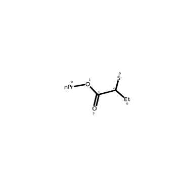 CCCOC(=O)C([S])CC